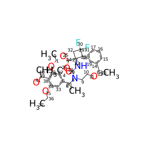 CCOc1cc([C@@H](C)N(CCO[C@@H](C)c2ccccc2)C(=O)NC2(C(=O)OC)CC(F)(F)C2)cc(OCC)c1C(C)=O